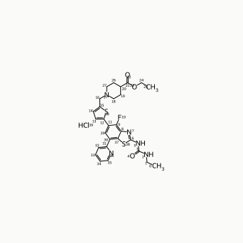 CCNC(=O)Nc1nc2c(F)c(-c3ccc(CN4CCC(C(=O)OCC)CC4)s3)cc(-c3ccccn3)c2s1.Cl